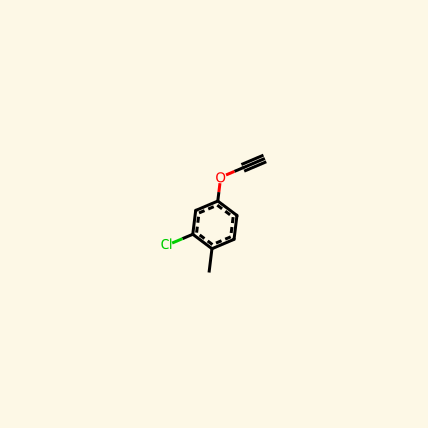 C#COc1ccc(C)c(Cl)c1